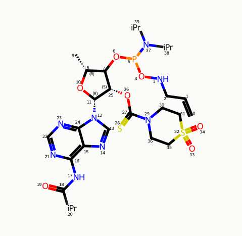 C=CCNOP(OC1[C@@H](C)O[C@@H](n2cnc3c(NC(=O)C(C)C)ncnc32)[C@H]1OC(=S)N1CCS(=O)(=O)CC1)N(C(C)C)C(C)C